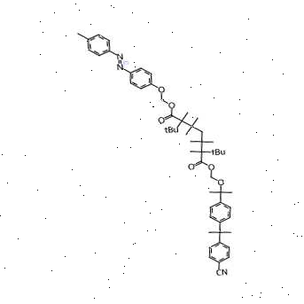 Cc1ccc(/N=N/c2ccc(OCOC(=O)C(C)(C(C)(C)C)C(C)(C)CC(C)(C)C(C)(C(=O)OCOC(C)(C)c3ccc(C(C)(C)c4ccc(C#N)cc4)cc3)C(C)(C)C)cc2)cc1